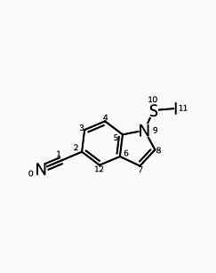 N#Cc1ccc2c(ccn2SI)c1